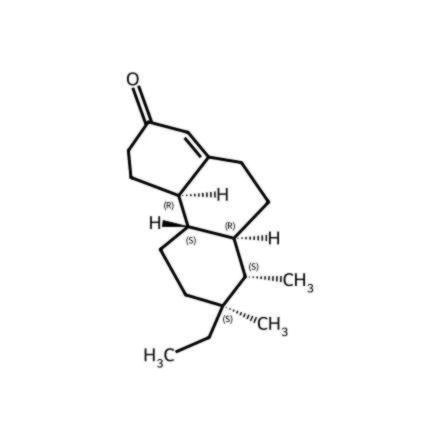 CC[C@@]1(C)CC[C@H]2[C@@H](CCC3=CC(=O)CC[C@@H]32)[C@@H]1C